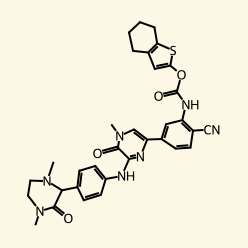 CN1CCN(C)C(c2ccc(Nc3nc(-c4ccc(C#N)c(NC(=O)Oc5cc6c(s5)CCCC6)c4)cn(C)c3=O)cc2)C1=O